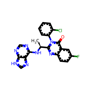 C[C@H](Nc1ncnc2[nH]cnc12)c1nc2ccc(F)cc2c(=O)n1-c1ccccc1Cl